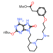 CCCCOc1nc(N)c2[nH]c(=O)n(CCC3CCCCN3CCN(C)CCCOc3cccc(CC(=O)OC)c3)c2n1